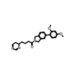 COc1ccc(-c2ccc3c(c2)CN(C(=O)CCCC2CC=NC=N2)C3)c(OC)c1